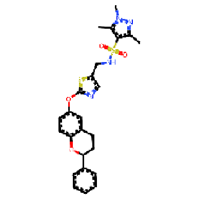 Cc1nn(C)c(C)c1S(=O)(=O)NCc1cnc(Oc2ccc3c(c2)CCC(c2ccccc2)O3)s1